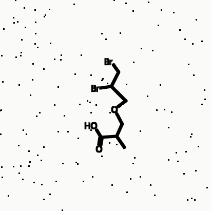 CC(COCC(Br)CBr)C(=O)O